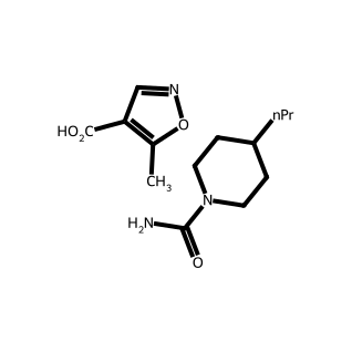 CCCC1CCN(C(N)=O)CC1.Cc1oncc1C(=O)O